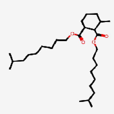 CC(C)CCCCCCCOC(=O)C1CCCC(C)C1C(=O)OCCCCCCCC(C)C